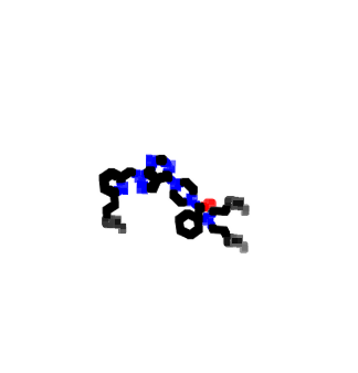 CCCc1cccc(Cn2ncc3c(N4CCN(C(=O)C5(N(CCC)CCC)CCCCC5)CC4)ncnc32)n1